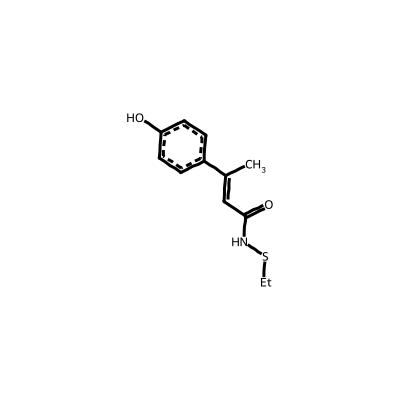 CCSNC(=O)/C=C(\C)c1ccc(O)cc1